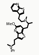 COc1cc(CC(C)N(C)CCc2csc3ncccc23)c2scc(CCN(C)C(C)C)c2n1